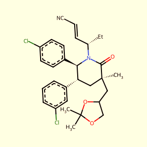 CC[C@@H](/C=C/C#N)N1C(=O)[C@@](C)(CC2COC(C)(C)O2)C[C@H](c2cccc(Cl)c2)[C@H]1c1ccc(Cl)cc1